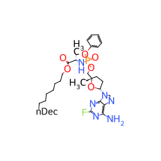 CCCCCCCCCCCCCCCCCOC(=O)[C@H](C)NP(=O)(OC[C@]1(C)CC[C@H](n2cnc3c(N)nc(F)nc32)O1)Oc1ccccc1